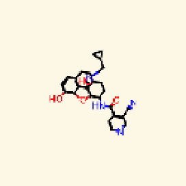 N#Cc1cnccc1C(=O)NC1CCC2(O)C3Cc4ccc(O)c5c4C2(CCN3CC2CC2)C1O5